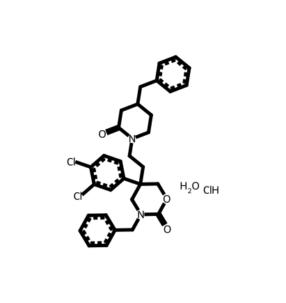 Cl.O.O=C1CC(Cc2ccccc2)CCN1CCC1(c2ccc(Cl)c(Cl)c2)COC(=O)N(Cc2ccccc2)C1